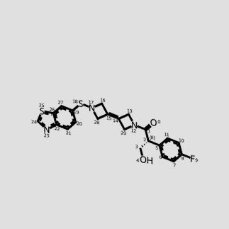 O=C([C@@H](CO)c1ccc(F)cc1)N1CC(=C2CN(Sc3ccc4ncsc4c3)C2)C1